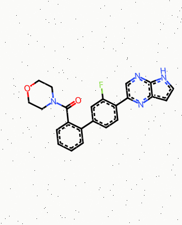 O=C(c1ccccc1-c1ccc(-c2cnc3[nH]ccc3n2)c(F)c1)N1CCOCC1